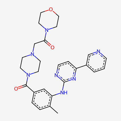 Cc1ccc(C(=O)N2CCN(CC(=O)N3CCOCC3)CC2)cc1Nc1nccc(-c2cccnc2)n1